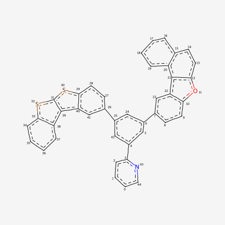 c1ccc(-c2cc(-c3ccc4oc5ccc6ccccc6c5c4c3)cc(-c3ccc4sc5sc6ccccc6c5c4c3)c2)nc1